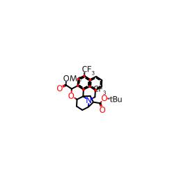 COC(=O)C(OC1CCC2C(C(=O)OC(C)(C)C)CC1(c1ccccc1)N2Cc1ccccc1)c1cc(C(F)(F)F)cc(C(F)(F)F)c1